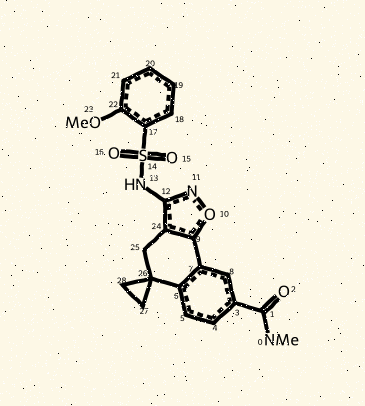 CNC(=O)c1ccc2c(c1)-c1onc(NS(=O)(=O)c3ccccc3OC)c1CC21CC1